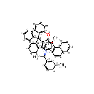 C/C(=N\C(=C/C(C)C1=CC=CC2C=CC=CC12)C1=C(C2(c3ccccc3)C3=C(CCC=C3)Oc3ccccc32)C=CCC1)C1=CC(C)CC=C1